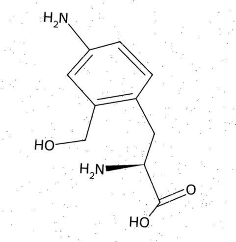 Nc1ccc(C[C@H](N)C(=O)O)c(CO)c1